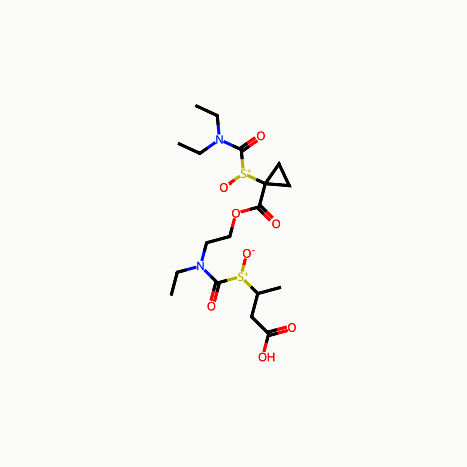 CCN(CCOC(=O)C1([S+]([O-])C(=O)N(CC)CC)CC1)C(=O)[S+]([O-])C(C)CC(=O)O